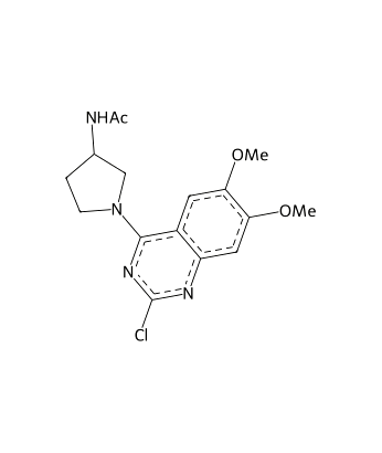 COc1cc2nc(Cl)nc(N3CCC(NC(C)=O)C3)c2cc1OC